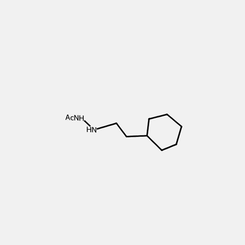 CC(=O)NNCCC1CCCCC1